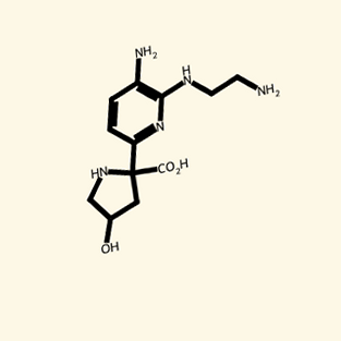 NCCNc1nc(C2(C(=O)O)CC(O)CN2)ccc1N